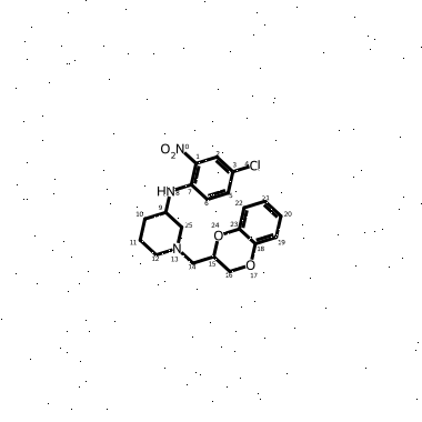 O=[N+]([O-])c1cc(Cl)ccc1NC1CCCN(CC2COc3ccccc3O2)C1